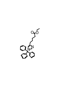 CCOC(=O)CCCCc1cn(C(c2ccccc2)(c2ccccc2)c2ccccc2)cn1